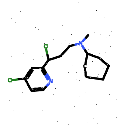 CN(CCC(Cl)c1cc(Cl)ccn1)C1CCCCC1